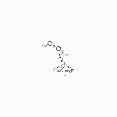 CCC(O)COCC(COCC(C)O)(COCC(O)CC)COCC(C)OC(O)Oc1ccc(C(C)(C)c2cccc(O)c2)cc1